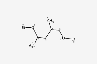 CCOCC(C)C[C](C)OCC